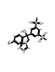 CS(=O)(=O)c1cc(C(O)(Cn2cnnc2)c2ccc(Br)cc2)cc(S(C)(=O)=O)c1